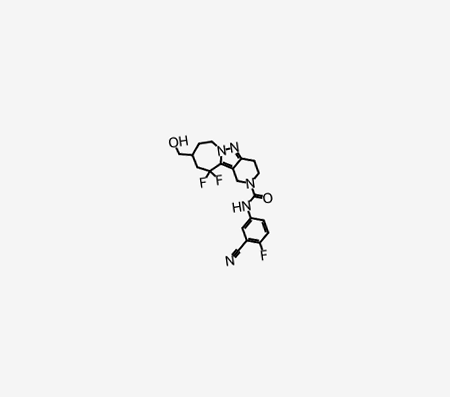 N#Cc1cc(NC(=O)N2CCc3nn4c(c3C2)C(F)(F)CC(CO)CC4)ccc1F